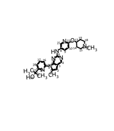 Cc1cc2cnc(Nc3ccc(OC4CCN(C)CC4)nc3)nc2n1-c1cccc(C(C)(C)O)n1